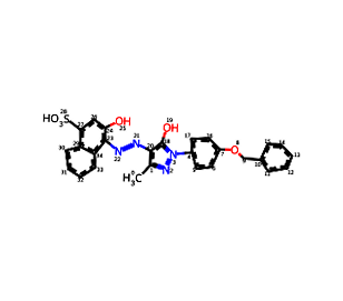 Cc1nn(-c2ccc(OCc3ccccc3)cc2)c(O)c1N=Nc1c(O)cc(S(=O)(=O)O)c2ccccc12